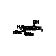 CC(O)C(=O)[O-].CCCCCCCCCC[N+](C)(CCCCCCCCCC)OC